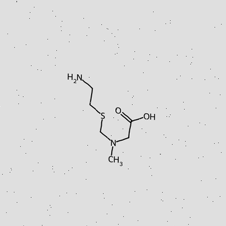 CN(CSCCN)CC(=O)O